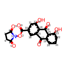 O=C(ON1C(=O)CCC1=O)c1cc(O)c2c(c1)C(=O)c1cccc(O)c1C2=O